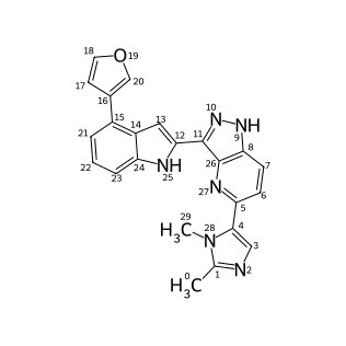 Cc1ncc(-c2ccc3[nH]nc(-c4cc5c(-c6ccoc6)cccc5[nH]4)c3n2)n1C